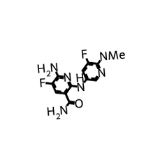 CNc1ncc(Nc2nc(N)c(F)cc2C(N)=O)cc1F